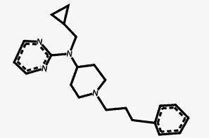 c1ccc(CCCN2CCC(N(CC3CC3)c3ncccn3)CC2)cc1